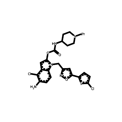 CC(C)N1CCC(NC(=O)Oc2cc3c(Cl)c(N)ccc3n2Cc2cc(-c3ccc(Cl)s3)on2)CC1